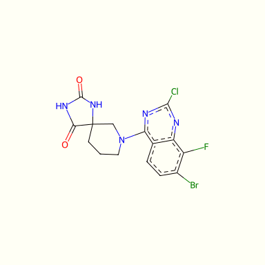 O=C1NC(=O)C2(CCCN(c3nc(Cl)nc4c(F)c(Br)ccc34)C2)N1